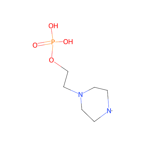 O=P(O)(O)OCCN1CC[N]CC1